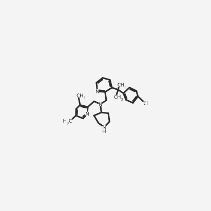 Cc1cnc(CN(Cc2ncccc2C(C)(C)c2ccc(Cl)cc2)C2CCNCC2)c(C)c1